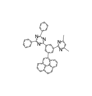 Cc1cc(C)nc(-c2cc(-c3nc(-c4ccccc4)nc(-c4ccccc4)n3)cc(-c3cc4cccc5ccc6cccc3c6c54)c2)n1